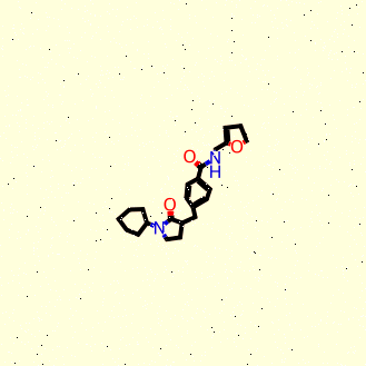 O=C(NCC1=CCCO1)c1ccc(CC2CCN(C3CCCCC3)C2=O)cc1